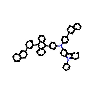 c1ccc(-n2c3ccccc3c3cc(N(c4ccc(-c5ccc6ccccc6c5)cc4)c4ccc(-c5c6ccccc6c(-c6cccc(-c7ccc8ccccc8c7)c6)c6ccccc56)cc4)ccc32)cc1